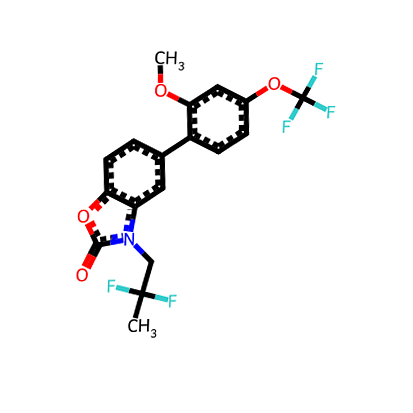 COc1cc(OC(F)(F)F)ccc1-c1ccc2oc(=O)n(CC(C)(F)F)c2c1